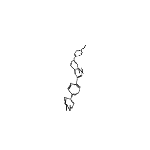 Ic1ccc(-c2ccc3cc(-c4ccc(-c5ccncc5)cc4)cnc3c2)cc1